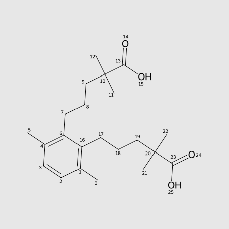 Cc1ccc(C)c(CCCC(C)(C)C(=O)O)c1CCCC(C)(C)C(=O)O